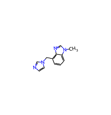 Cn1cnc2c(Cn3ccnc3)cccc21